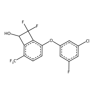 OC1c2c(C(F)(F)F)ccc(Oc3cc(F)cc(Cl)c3)c2C1(F)F